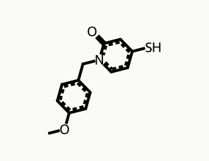 COc1ccc(Cn2ccc(S)cc2=O)cc1